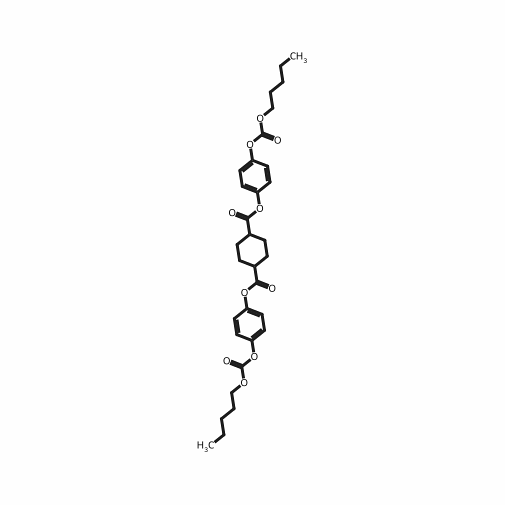 CCCCCOC(=O)Oc1ccc(OC(=O)C2CCC(C(=O)Oc3ccc(OC(=O)OCCCCC)cc3)CC2)cc1